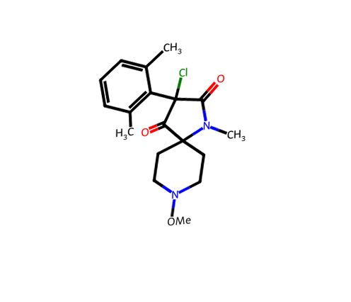 CON1CCC2(CC1)C(=O)C(Cl)(c1c(C)cccc1C)C(=O)N2C